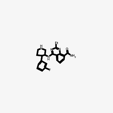 CCc1nc(NC2CNCCC2c2cccc(F)c2)c2cccc(C(N)=O)c2n1